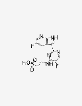 O=S(=O)(O)CCNc1nc(-c2c[nH]c3ncc(F)cc23)ncc1F